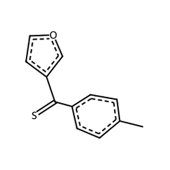 Cc1ccc(C(=S)c2ccoc2)cc1